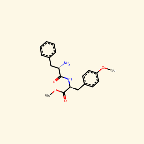 CC(C)(C)OC(=O)[C@H](Cc1ccc(OC(C)(C)C)cc1)NC(=O)[C@@H](N)Cc1ccccc1